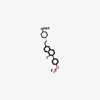 CCCCCC[C@H]1CC[C@H](CCc2ccc3c(F)c(-c4ccc(OC(F)(F)F)cc4)ccc3c2)CC1